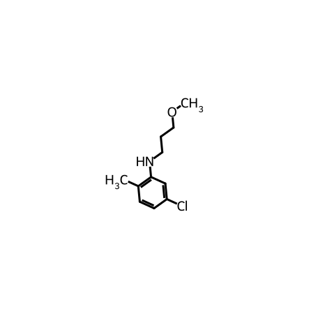 COCCCNc1cc(Cl)ccc1C